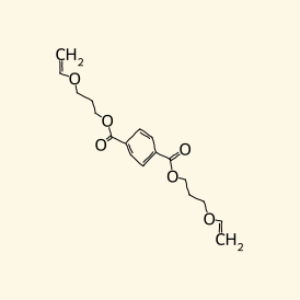 C=COCCCOC(=O)c1ccc(C(=O)OCCCOC=C)cc1